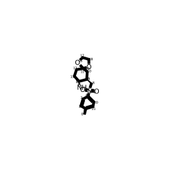 Cc1ccc(S(=O)(=O)C[C@@H]2CC3(CC[C@@H]2N)OCCO3)cc1